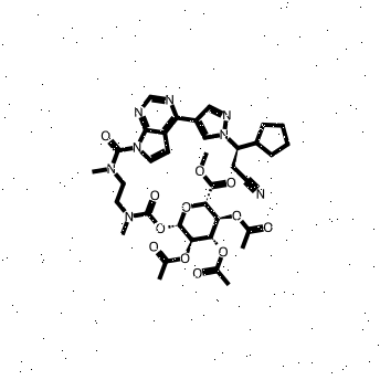 COC(=O)[C@H]1O[C@@H](OC(=O)N(C)CCN(C)C(=O)n2ccc3c(-c4cnn([C@H](CC#N)C5CCCC5)c4)ncnc32)[C@H](OC(C)=O)[C@@H](OC(C)=O)[C@@H]1OC(C)=O